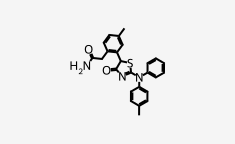 Cc1ccc(N(C2=NC(=O)C(c3cc(C)ccc3CC(N)=O)S2)c2ccccc2)cc1